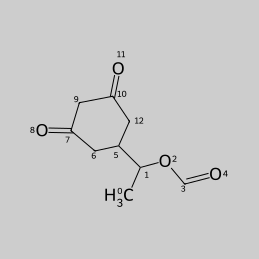 CC(OC=O)C1CC(=O)CC(=O)C1